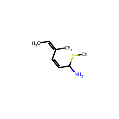 C/C=C(\C=C/C(N)SCC)C(F)(F)F